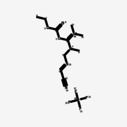 CCOC(=O)OC(N(C)CN=CC#N)=[N+](C)C.F[B-](F)(F)F